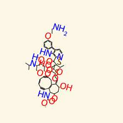 COC(=O)NC1C(=O)C[C@H](O)/C(=C/CSC(C)=O)C2=C1C#C/C=C\C#C[C@@H]2OC1OC(C)C(SC)(C(=O)c2nccc3c2[nH]c2ccc(OCCN)cc23)C(O)C1OC1CC(OC)C(NC(C)C)CO1